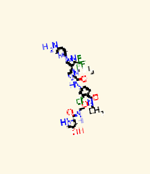 CCN(OCCNC(=O)[C@@H]1C[C@@H](O)CN1)C(=O)c1ccc(NC(=O)c2ncc(-c3cn(-c4ccc(N)cn4)nc3C(F)(F)F)n2C)cc1Cl